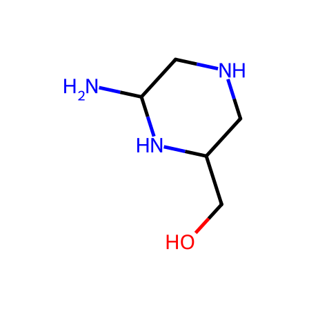 NC1CNCC(CO)N1